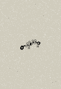 O=C(NC1CN(C(=O)OC(=O)[C@H]2CCCN2)C1=O)OCc1ccccc1